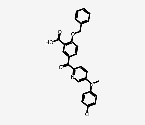 CN(c1ccc(Cl)cc1)c1ccc(C(=O)c2ccc(OCc3ccccc3)c(C(=O)O)c2)nc1